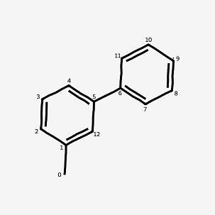 Cc1cccc(-c2cc[c]cc2)c1